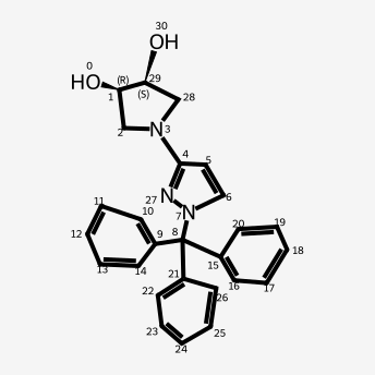 O[C@@H]1CN(c2ccn(C(c3ccccc3)(c3ccccc3)c3ccccc3)n2)C[C@@H]1O